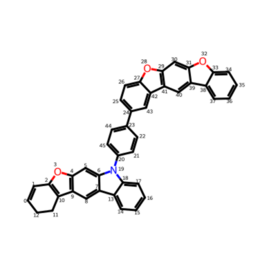 C1=Cc2oc3cc4c(cc3c2CC1)c1ccccc1n4-c1ccc(-c2ccc3oc4cc5oc6ccccc6c5cc4c3c2)cc1